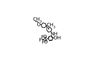 CCCOC1CCC(C)(N2CCC(Nc3cc(S(=O)(=O)C(F)(F)F)ccc3O)CC2)CC1